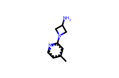 Cc1ccnc(N2CC(N)C2)c1